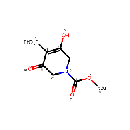 CCOC(=O)C1=C(O)CN(C(=O)OC(C)(C)C)CC1=O